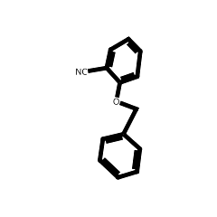 N#Cc1ccccc1OCc1ccccc1